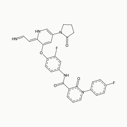 N=C/C=C1\NC=C(N2CCCC2=O)C=C1Oc1ccc(NC(=O)c2cccn(-c3ccc(F)cc3)c2=O)cc1F